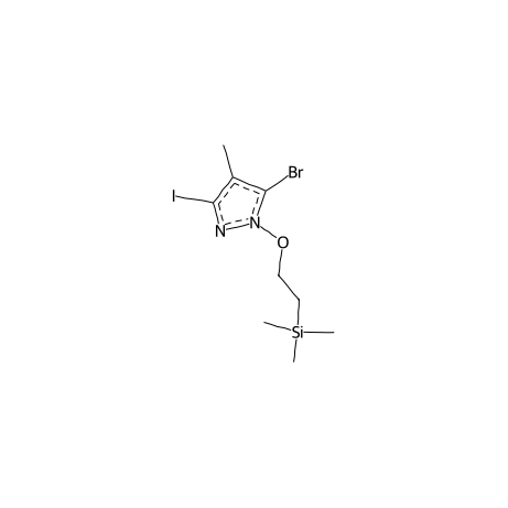 Cc1c(I)nn(OCC[Si](C)(C)C)c1Br